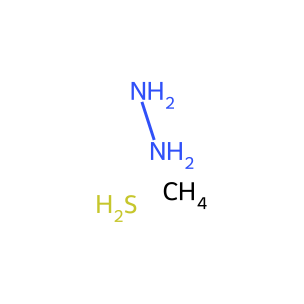 C.NN.S